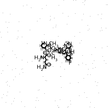 CC(OC(=O)N(C)c1ncccc1COC(=O)[C@@H](N)CCC(N)=O)[n+]1cnn(CC(O)(c2ccc(F)cc2F)[C@@H](C)c2ncncc2F)c1